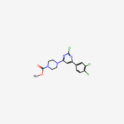 CC(C)(C)OC(=O)N1CCN(c2cc(-c3ccc(F)c(Cl)c3)nc(Cl)n2)CC1